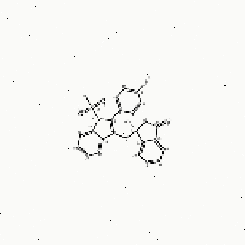 C[C@]1(Cc2c(-c3ccc(F)cc3)n(S(C)(=O)=O)c3ccccc23)CC(=O)c2ccccc21